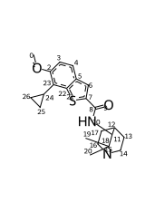 COc1ccc2cc(C(=O)NC3C4CCN(CC4)C3(C)C)sc2c1C1CC1